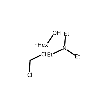 CCCCCCO.CCN(CC)CC.ClCCl